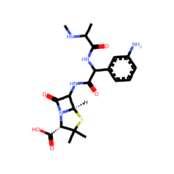 CNC(C)C(=O)NC(C(=O)NC1C(=O)N2[C@@H]1SC(C)(C)[C@@H]2C(=O)O)c1cccc(N)c1